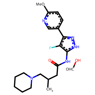 COc1ccc(-c2n[nH]c(NC(=O)CC(C)CN3CCCCC3)c2F)cn1.O=CO